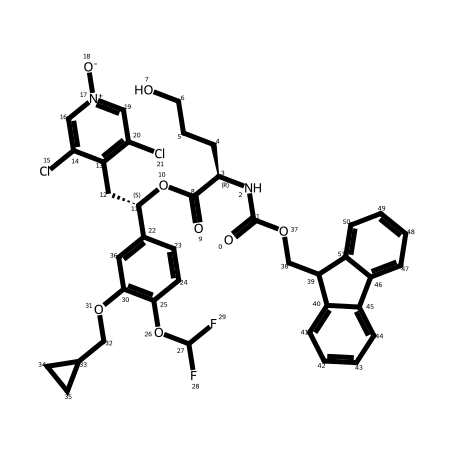 O=C(N[C@H](CCCO)C(=O)O[C@@H](Cc1c(Cl)c[n+]([O-])cc1Cl)c1ccc(OC(F)F)c(OCC2CC2)c1)OCC1c2ccccc2-c2ccccc21